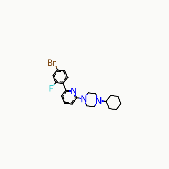 Fc1cc(Br)ccc1-c1cccc(N2CCN(C3CCCCC3)CC2)n1